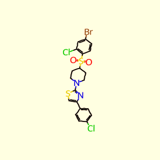 O=S(=O)(c1ccc(Br)cc1Cl)C1CCN(c2nc(-c3ccc(Cl)cc3)cs2)CC1